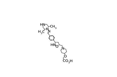 CC1CNCC(C)N1N=Cc1ccc(C2CC(CN3CCC(OCC(=O)O)CC3)ON2)cc1